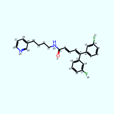 O=C(/C=C/C=C(c1cccc(F)c1)c1cccc(F)c1)NCCCCc1cccnc1